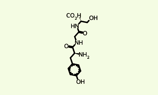 N[C@@H](Cc1ccc(O)cc1)C(=O)NCC(=O)N[C@@H](CO)C(=O)O